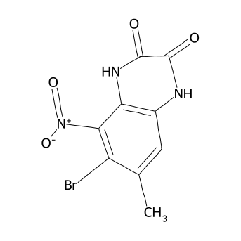 Cc1cc2[nH]c(=O)c(=O)[nH]c2c([N+](=O)[O-])c1Br